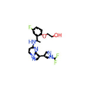 CC(Nc1ccn2ncc(-c3cnn(C(F)F)c3)c2n1)c1cc(F)ccc1OCCO